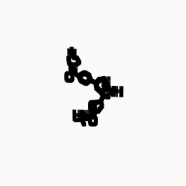 CC(C)NC(=O)N1CC=C(c2c[nH]c3ncc(-c4ccc(C(=O)N5CCN(C)CC5)cc4)cc23)CC1